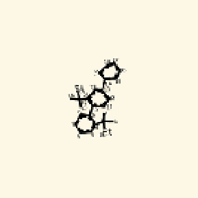 CCC(C)(C)c1ccccc1-c1ccc(-c2ccccc2)cc1C(C)(C)CC